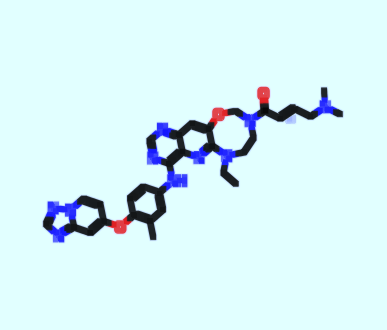 CCN1CCN(C(=O)/C=C/CN(C)C)COc2cc3ncnc(Nc4ccc(Oc5ccn6ncnc6c5)c(C)c4)c3nc21